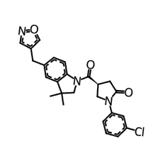 CC1(C)CN(C(=O)[C@H]2CC(=O)N(c3cccc(Cl)c3)C2)c2ccc(Cc3cnoc3)cc21